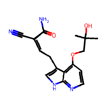 CC(C)(O)COc1ccnc2[nH]cc(CC=C(C#N)C(N)=O)c12